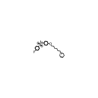 CN(c1ccc(OCCCCCCN2CC=CCC2)cc1)S(=O)(=O)c1ccc(F)cc1